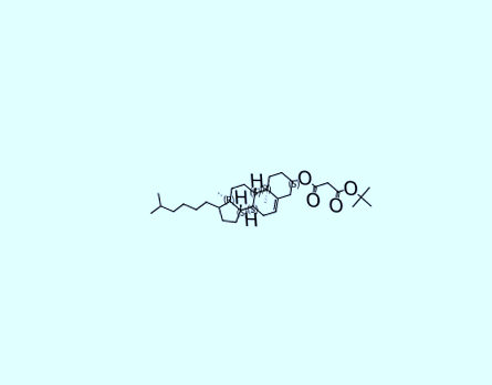 CC(C)CCCCC1CC[C@H]2[C@@H]3CC=C4C[C@@H](OC(=O)CC(=O)OC(C)(C)C)CC[C@]4(C)[C@H]3CC[C@]12C